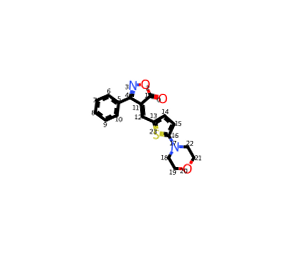 O=C1ON=C(c2ccccc2)C1=Cc1ccc(N2CCOCC2)s1